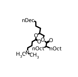 CCCCCCCCCCCCCC(COC(=O)C(CCCCCCCC)CCCCCCCC)OC(=O)CCCN(C)C